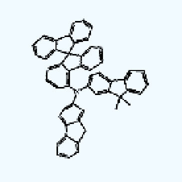 CC1(C)c2ccccc2-c2ccc(N(c3ccc4c(c3)Cc3ccccc3-4)c3cccc4c3-c3ccccc3C43c4ccccc4-c4ccccc43)cc21